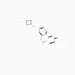 CCOC(=O)c1cn2c(cc1=O)-c1cc(Cl)c(OCC3CC(OC)C3)cc1CC2C(C)C